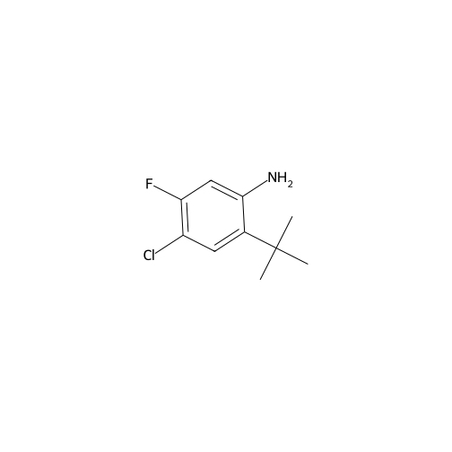 CC(C)(C)c1cc(Cl)c(F)cc1N